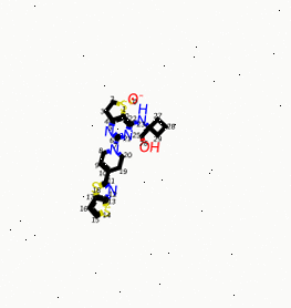 [O-][S@+]1CCc2nc(N3CC=C(c4nc5sccc5s4)CC3)nc(NC3(CO)CCC3)c21